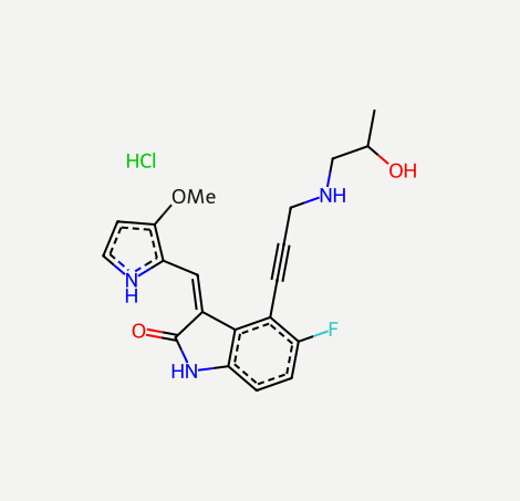 COc1cc[nH]c1C=C1C(=O)Nc2ccc(F)c(C#CCNCC(C)O)c21.Cl